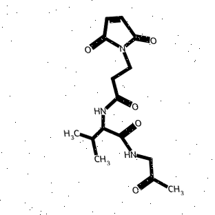 CC(=O)CNC(=O)C(NC(=O)CCN1C(=O)C=CC1=O)C(C)C